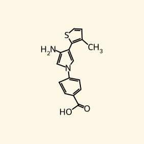 Cc1ccsc1-c1cn(-c2ccc(C(=O)O)cc2)cc1N